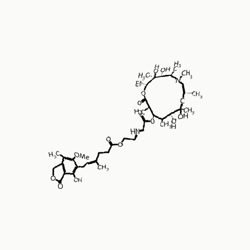 CC[C@H]1OC(=O)[C@H](C)[C@@H](OC(=O)CNCCOC(=O)CC/C(C)=C/Cc2c(O)c3c(c(C)c2OC)COC3=O)[C@H](C)[C@@H](O)[C@](C)(O)C[C@@H](C)CN(C)[C@H](C)[C@@H](O)[C@]1(C)O